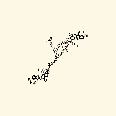 CCc1c2c(nc3ccc(O)cc13)-c1cc3c(c(=O)n1C2)COC(=O)[C@@]3(CC)OC(=O)CCC(=O)COCCOC(COCCOCC(=O)NCC(=O)O[C@]1(CC)C(=O)OCc2c1cc1n(c2=O)Cc2c-1nc1ccc(O)cc1c2CC)COCC(COCCOCC(=O)O)OCCOCC(C)=O